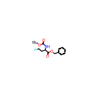 CC(C)(C)OC(=O)NC(CCF)C(=O)OCc1ccccc1